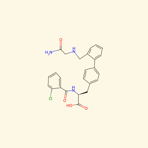 NC(=O)CNCc1ccccc1-c1ccc(C[C@H](NC(=O)c2ccccc2Cl)C(=O)O)cc1